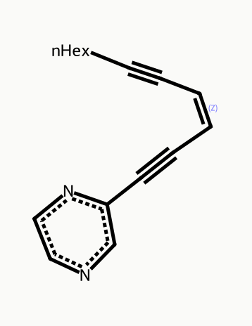 CCCCCCC#C/C=C\C#Cc1cnccn1